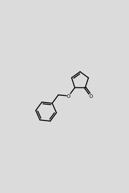 O=C1CC=CC1OCc1ccccc1